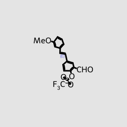 COc1cccc(/C=C/c2ccc(OS(=O)(=O)C(F)(F)F)c(C=O)c2)c1